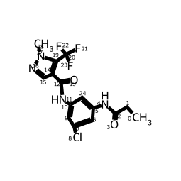 CCC(=O)Nc1cc(Cl)cc(NC(=O)c2cnn(C)c2C(F)(F)F)c1